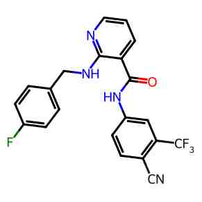 N#Cc1ccc(NC(=O)c2cccnc2NCc2ccc(F)cc2)cc1C(F)(F)F